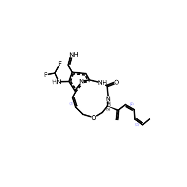 C=C(/C=C\C=C/C)[C@H]1COC/C=C\c2nc(cc(C=N)c2NC(F)F)NC(=O)N1